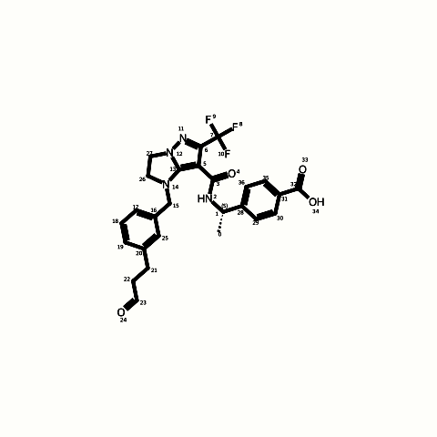 C[C@H](NC(=O)c1c(C(F)(F)F)nn2c1N(Cc1cccc(CCC=O)c1)CC2)c1ccc(C(=O)O)cc1